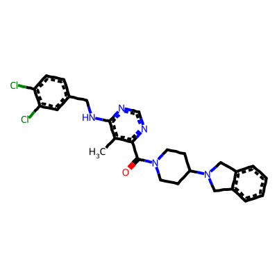 Cc1c(NCc2ccc(Cl)c(Cl)c2)ncnc1C(=O)N1CCC(N2Cc3ccccc3C2)CC1